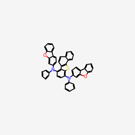 c1ccc(N(c2ccc3c(c2)oc2ccccc23)c2ccc(N(c3ccccc3)c3ccc4c(c3)oc3ccccc34)c3c2sc2c4ccccc4ccc23)cc1